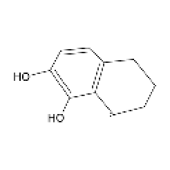 Oc1ccc2c(c1O)[C]CCC2